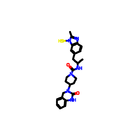 Cc1nc2ccc(CC(C)NC(=O)N3CCC(N4Cc5ccccc5NC4=O)CC3)cc2n1S